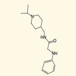 CC(C)N1CCC(CNC(=O)CNc2ccccc2)CC1